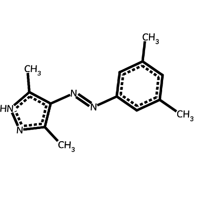 Cc1cc(C)cc(N=Nc2c(C)n[nH]c2C)c1